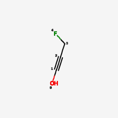 OC#CCF